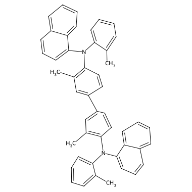 Cc1ccccc1N(c1ccc(-c2ccc(N(c3ccccc3C)c3cccc4ccccc34)c(C)c2)cc1C)c1cccc2ccccc12